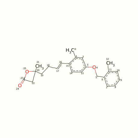 Cc1cc(OCc2ccccc2C)ccc1C=CCCC1(C)CC(=O)O1